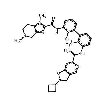 C=C(Nc1cccc(-c2cccc(NC(=O)c3nc4c(n3C)CCN(C)C4)c2C)c1C)c1cc2c(cn1)CN(C1CCC1)O2